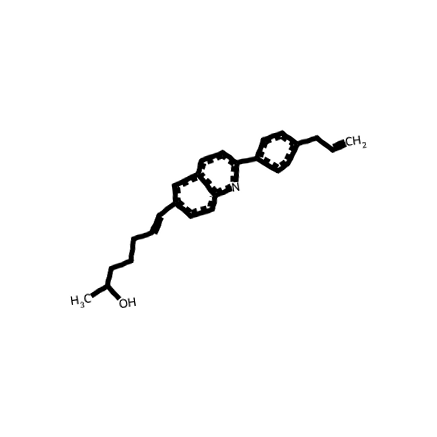 C=CCc1ccc(-c2ccc3cc(/C=C/CCCC(C)O)ccc3n2)cc1